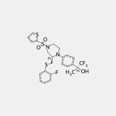 C[C@](O)(c1ccc(N2CCN(S(=O)(=O)c3cccs3)C[C@@H]2CSc2ccccc2F)cc1)C(F)(F)F